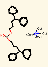 CCCCCCCC[N+](CCCCCCCC)(CCCCCCCC)CCCCCCCC.OB(OCCCC(c1ccccc1)c1ccccc1)OCCCC(c1ccccc1)c1ccccc1